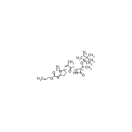 C=CCOC(=O)N=C1CC[C@@H](C=C(C)C(=O)C[C@H]2NC(=O)[C@@H]2[C@@H](C)O[Si](C)(C)C(C)(C)C)N1C